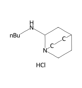 CCCCNC1CC2CCN1CC2.Cl